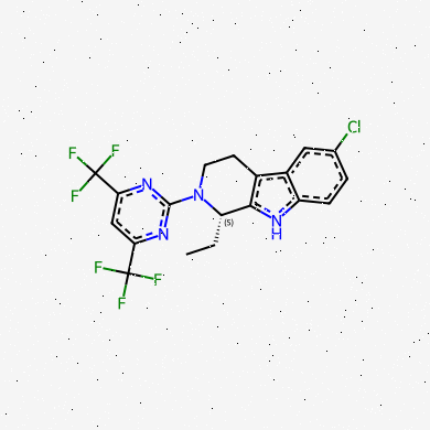 CC[C@H]1c2[nH]c3ccc(Cl)cc3c2CCN1c1nc(C(F)(F)F)cc(C(F)(F)F)n1